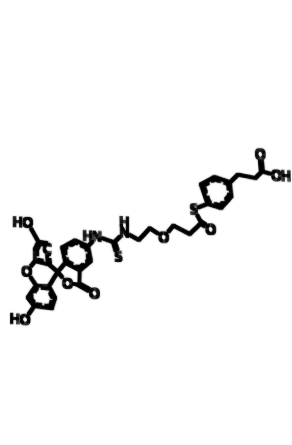 O=C(O)CCc1ccc(SC(=O)CCOCCNC(=S)Nc2ccc3c(c2)C(=O)OC32c3ccc(O)cc3Oc3cc(O)ccc32)cc1